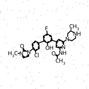 CC(=O)Nc1cc(-c2cc(F)cc(-c3ccc(-n4ccn(C)c4=O)c(Cl)c3)c2O)cc(N2CCN[C@H](C)C2)n1